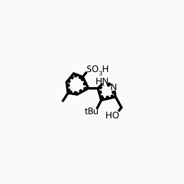 Cc1ccc(S(=O)(=O)O)c(-c2[nH]nc(CO)c2C(C)(C)C)c1